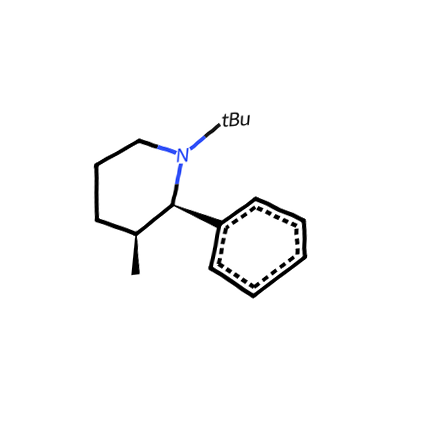 C[C@H]1CCCN(C(C)(C)C)[C@H]1c1ccccc1